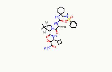 CN(CC1(NC(=O)N[C@H](C(=O)N2C[C@H]3[C@@H]([C@H]2C(=O)NC(C(=O)C(N)=O)C2CCC2)C3(C)C)C(C)(C)C)CCCCC1)S(=O)(=O)c1ccccc1